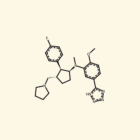 COc1ccc(-c2nnn[nH]2)cc1N(C)[C@H]1CC[C@H](CN2CCCC2)[C@H]1c1ccc(F)cc1